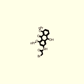 CCCOc1cccc2c1C(=O)c1c(OCCC)cc(NC(=O)CBr)cc1C2O